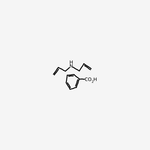 C=CCNCC=C.O=C(O)c1ccccc1